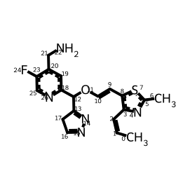 C/C=C\c1nc(C)sc1/C=C/OC(C1=NN=CC1)c1cc(CN)c(F)cn1